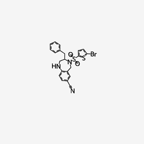 N#Cc1ccc2c(c1)CN(S(=O)(=O)c1ccc(Br)s1)C(Cc1ccccc1)CN2